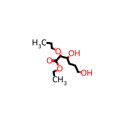 CCCOC(C(=O)OCC)C(O)CCCO